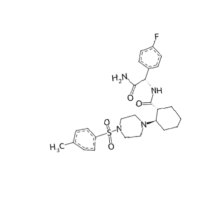 Cc1ccc(S(=O)(=O)N2CCN([C@@H]3CCCC[C@H]3C(=O)N[C@H](C(N)=O)c3ccc(F)cc3)CC2)cc1